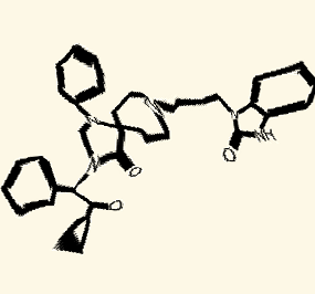 O=C(C1CC1)[C@@H](c1ccccc1)N1CN(c2ccccc2)C2(CCN(CCCn3c(=O)[nH]c4ccccc43)CC2)C1=O